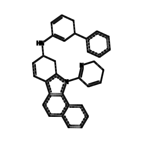 C1=CC(n2c3c(c4ccc5ccccc5c42)C=CC(NC2=CC(c4ccccc4)CC=C2)C3)=NCC1